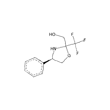 OCC1(C(F)(F)F)N[C@H](c2ccccc2)CO1